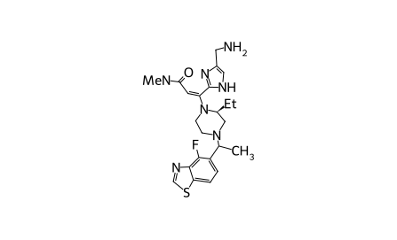 CC[C@H]1CN(C(C)c2ccc3scnc3c2F)CCN1/C(=C/C(=O)NC)c1nc(CN)c[nH]1